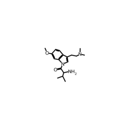 COc1ccc2c(CCN(C)C)cn(C(=O)C(N)C(C)C)c2c1